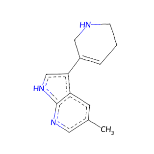 Cc1cnc2[nH]cc(C3=CCCNC3)c2c1